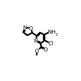 COC(=O)c1nc(C2CC=NO2)cc(N)c1Cl